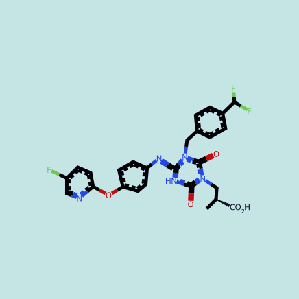 C[C@@H](Cn1c(=O)[nH]/c(=N\c2ccc(Oc3ccc(F)cn3)cc2)n(Cc2ccc(C(F)F)cc2)c1=O)C(=O)O